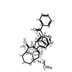 COC[C@H]1CN(Cc2cnnn2C(=O)c2ccccc2)C(=O)[C@@H]2CCC[C@H]1N2S(=O)(=O)c1cccc(F)c1